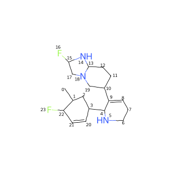 CC1CC(C2NCCC=C2C2CCC3NC(F)CN3C2)C=CC1F